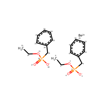 CCOP(=O)([O-])Cc1ccccc1.CCOP(=O)([O-])Cc1ccccc1.[Be+2]